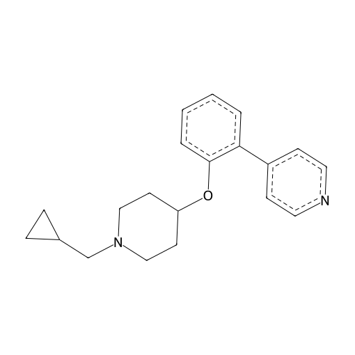 c1ccc(-c2ccncc2)c(OC2CCN(CC3CC3)CC2)c1